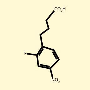 O=C(O)CCCc1ccc([N+](=O)[O-])cc1F